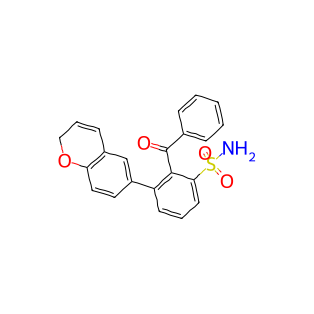 NS(=O)(=O)c1cccc(-c2ccc3c(c2)C=CCO3)c1C(=O)c1ccccc1